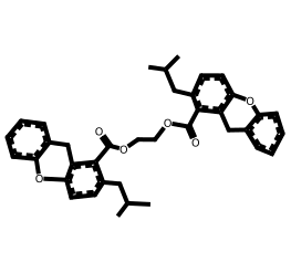 CC(C)Cc1ccc2c(c1C(=O)OCCOC(=O)c1c(CC(C)C)ccc3c1Cc1ccccc1O3)Cc1ccccc1O2